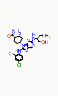 CC[C@@H](CO)Nc1ncc2nc(Nc3ccc(Cl)cc3Cl)n([C@H]3CC[C@H](C(N)=O)CC3)c2n1